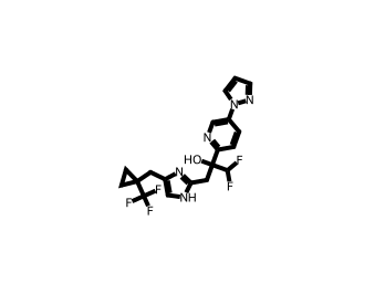 OC(Cc1nc(CC2(C(F)(F)F)CC2)c[nH]1)(c1ccc(-n2cccn2)cn1)C(F)F